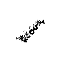 O=C1O[C@H](CC2(OP(=O)(O)O)CC2)CN1c1ccc(-c2ccc(-c3nnn(C4CC4)n3)nc2)c(F)c1